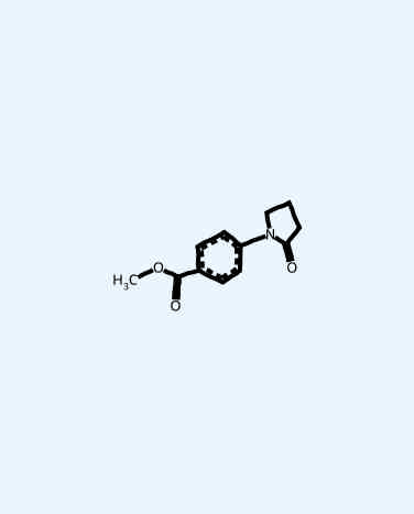 COC(=O)c1ccc(N2CCCC2=O)cc1